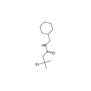 CCC(C)(C)CC(=O)NCC1CCCCC1